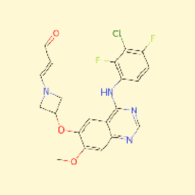 COc1cc2ncnc(Nc3ccc(F)c(Cl)c3F)c2cc1OC1CN(C=CC=O)C1